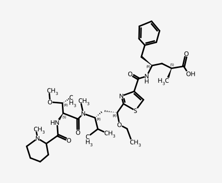 CCO[C@H](C[C@H](C(C)C)N(C)C(=O)[C@@H](NC(=O)C1CCCCN1C)[C@@H](C)OC)c1nc(C(=O)N[C@@H](Cc2ccccc2)C[C@H](C)C(=O)O)cs1